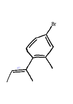 C/C=C(\C)c1ccc(Br)cc1C